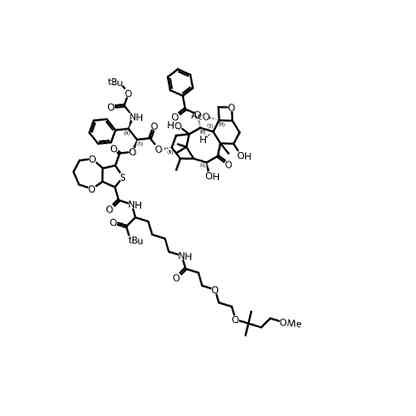 COCCC(C)(C)OCCOCCC(=O)NCCCCC(NC(=O)C1SC(C(=O)O[C@H](C(=O)O[C@@H]2CC3(O)[C@H](OC(=O)c4ccccc4)[C@@H]4C(C)(C(=O)[C@@H](O)C(C2C)C3(C)C)C(O)CC2OC[C@@]24OC(C)=O)[C@H](NC(=O)OC(C)(C)C)c2ccccc2)C2OCCCOC12)C(=O)C(C)(C)C